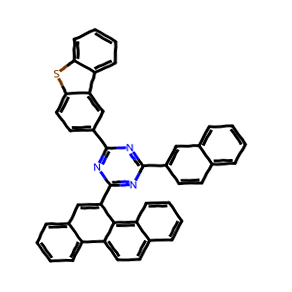 c1ccc2cc(-c3nc(-c4ccc5sc6ccccc6c5c4)nc(-c4cc5ccccc5c5ccc6ccccc6c45)n3)ccc2c1